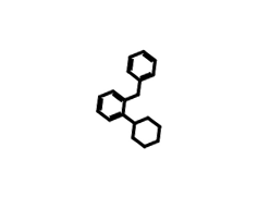 c1ccc(Cc2ccccc2C2CCCCC2)cc1